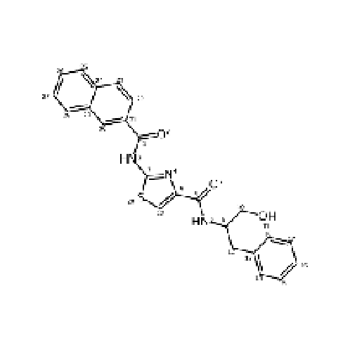 O=C(Nc1nc(C(=O)NC(CO)Cc2ccccc2)cs1)c1ccc2ccccc2c1